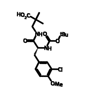 COc1ccc(C[C@@H](NC(=O)OC(C)(C)C)C(=O)NCC(C)(C)C(=O)O)cc1Cl